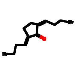 CC(C)CCC=C1CCC(=CCCC(C)C)C1=O